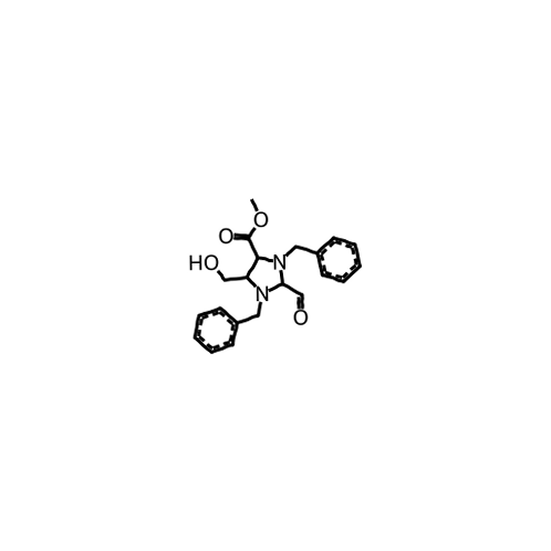 COC(=O)C1C(CO)N(Cc2ccccc2)C(C=O)N1Cc1ccccc1